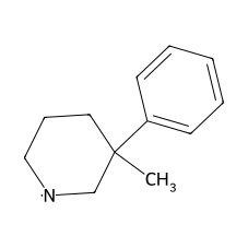 CC1(c2ccccc2)CCC[N]C1